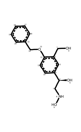 OCc1cc([C@@H](O)CNO)ccc1OCc1ccccc1